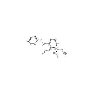 CC/C=c1\c(OCc2ccccc2)ccc\c1=C(/CO)NC